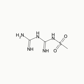 CS(=O)(=O)NC(=N)NC(=N)N